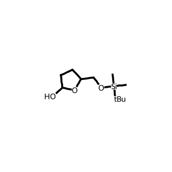 CC(C)(C)[Si](C)(C)OCC1CCC(O)O1